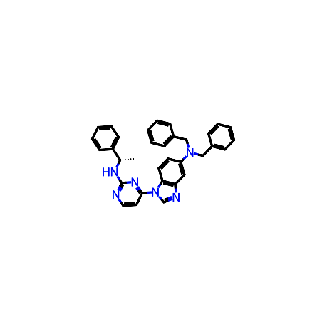 C[C@H](Nc1nccc(-n2cnc3cc(N(Cc4ccccc4)Cc4ccccc4)ccc32)n1)c1ccccc1